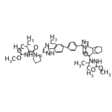 COC(=O)N[C@H](C(=O)N1CCC[C@H]1c1cnc(-c2ccc(-c3ccc(-c4ncc(C5C6CCC(C6)C5C(=O)N(NC(=O)OC)C(C)C)[nH]4)cc3)cc2C)[nH]1)C(C)C